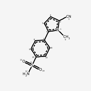 Cn1c(C#N)ccc1-c1ccc(S(N)(=O)=O)cc1